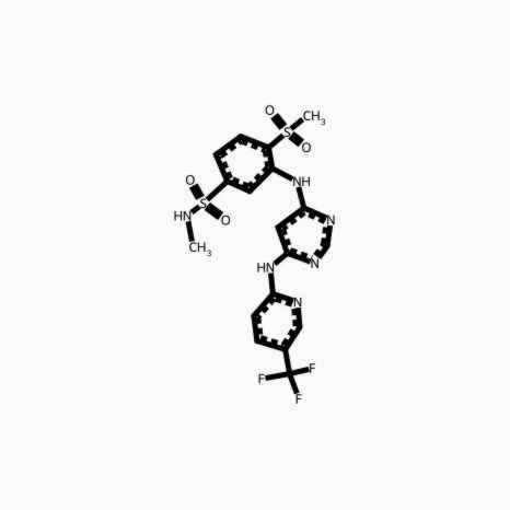 CNS(=O)(=O)c1ccc(S(C)(=O)=O)c(Nc2cc(Nc3ccc(C(F)(F)F)cn3)ncn2)c1